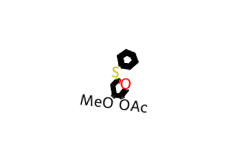 COC1CC(Sc2ccccc2)OC=C1OC(C)=O